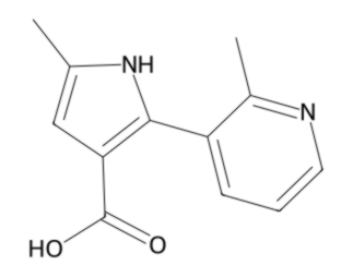 Cc1cc(C(=O)O)c(-c2cccnc2C)[nH]1